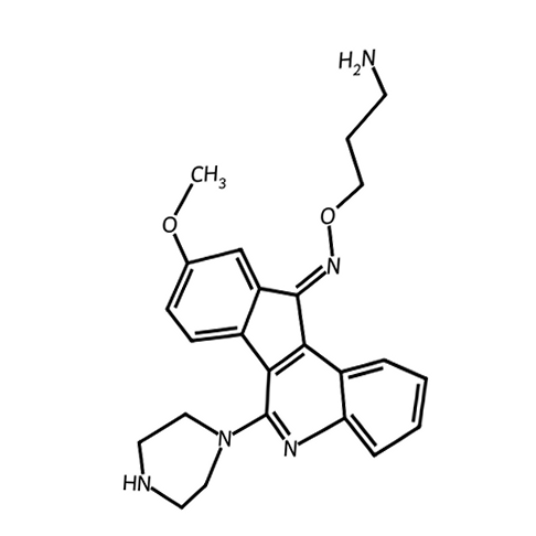 COc1ccc2c(c1)C(=NOCCCN)c1c-2c(N2CCNCC2)nc2ccccc12